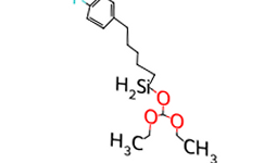 CCOC(OCC)O[SiH2]CCCCCc1ccc(F)cc1